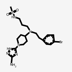 CS(=O)(=O)NCCCN(CCc1ccc(Br)cc1)C1CCN(c2nc(N)n[nH]2)CC1